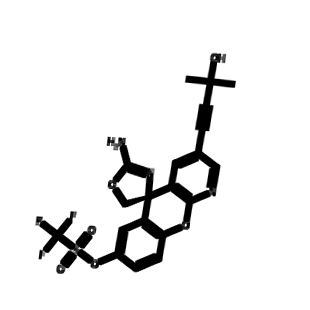 CC(C)(O)C#Cc1cnc2c(c1)[C@]1(COC(N)=N1)c1cc(OS(=O)(=O)C(F)(F)F)ccc1O2